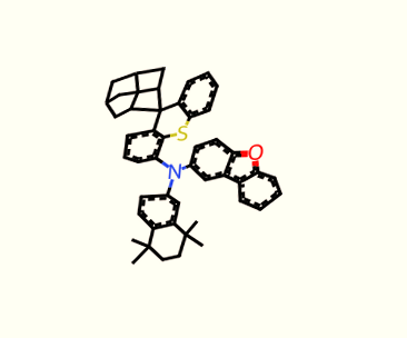 CC1(C)CCC(C)(C)c2cc(N(c3ccc4oc5ccccc5c4c3)c3cccc4c3Sc3ccccc3C43C4CC5CC6CC3C64C5)ccc21